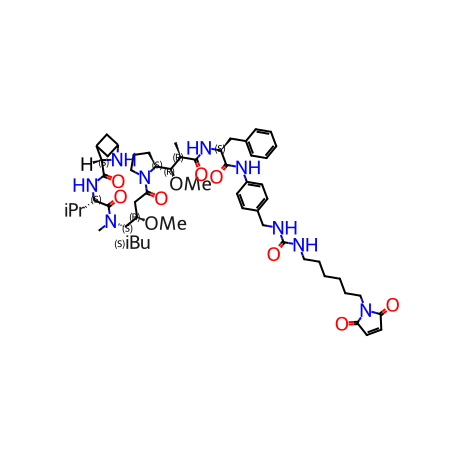 CC[C@H](C)[C@@H]([C@@H](CC(=O)N1CCC[C@H]1[C@H](OC)[C@@H](C)C(=O)N[C@@H](Cc1ccccc1)C(=O)Nc1ccc(CNC(=O)NCCCCCCN2C(=O)C=CC2=O)cc1)OC)N(C)C(=O)[C@@H](NC(=O)[C@H]1NC2CC1C2)C(C)C